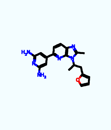 Cc1nc2ccc(-c3cc(N)nc(N)c3)nc2n1C(C)Cc1ccco1